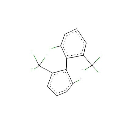 Fc1cccc(C(F)(F)F)c1-c1c(F)cccc1C(F)(F)F